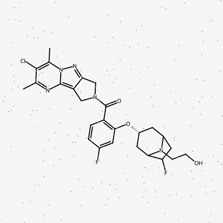 Cc1nc2c3c(nn2c(C)c1Cl)CN(C(=O)c1ccc(F)cc1O[C@@H]1CC2CC(F)C(C1)N2CCO)C3